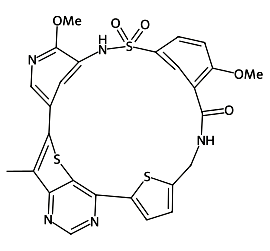 COc1ccc2cc1C(=O)NCc1ccc(s1)-c1ncnc3c(C)c(sc13)-c1cnc(OC)c(c1)NS2(=O)=O